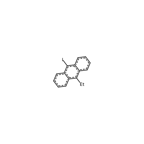 CCc1c2ccccc2c(I)c2ccccc12